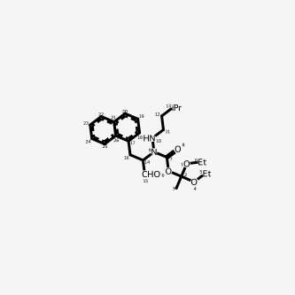 CCOC(C)(OCC)OC(=O)N(NCCC(C)C)C(C=O)Cc1cccc2ccccc12